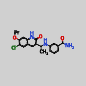 CC(C)Oc1cc2[nH]c(=O)c(C(C)Nc3cccc(C(N)=O)c3)cc2cc1Cl